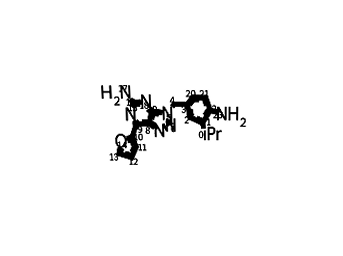 CC(C)c1cc(Cn2nnc3c(-c4ccco4)nc(N)nc32)ccc1N